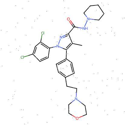 Cc1c(C(=O)NN2CCCCC2)nn(-c2ccc(Cl)cc2Cl)c1-c1ccc(CCN2CCOCC2)cc1